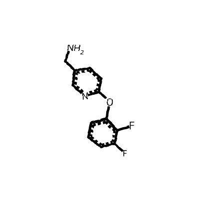 NCc1ccc(Oc2cccc(F)c2F)nc1